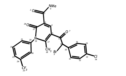 CNC(=O)c1cc(C(=O)C(Br)c2ccc(Cl)cc2)c(C)n(-c2cccc(C(F)(F)F)c2)c1=O